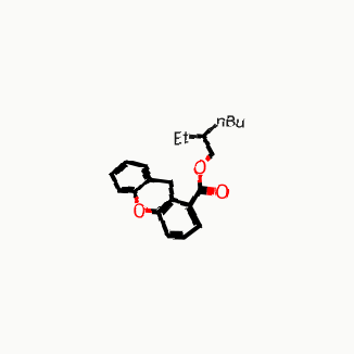 CCCCC(CC)COC(=O)c1cccc2c1Cc1ccccc1O2